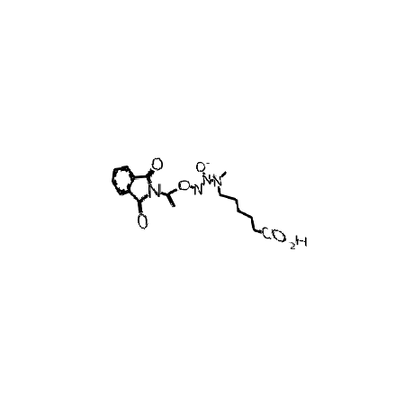 CC(O/N=[N+](\[O-])N(C)CCCCCC(=O)O)N1C(=O)c2ccccc2C1=O